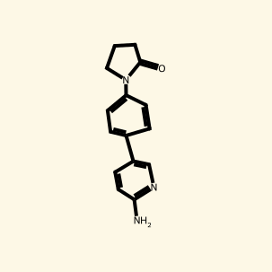 Nc1ccc(-c2ccc(N3CCCC3=O)cc2)cn1